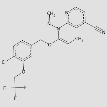 C=NN(/C(=C\C)OCc1ccc(Cl)c(OCC(F)(F)F)c1)c1cc(C#N)ccn1